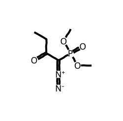 CCC(=O)C(=[N+]=[N-])P(=O)(OC)OC